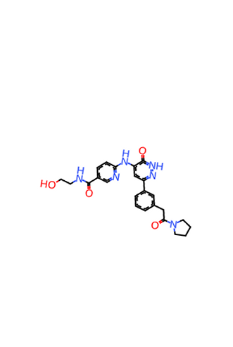 O=C(NCCO)c1ccc(Nc2cc(-c3cccc(CC(=O)N4CCCC4)c3)n[nH]c2=O)nc1